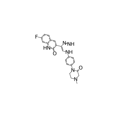 CN1CCN(c2ccc(N/C=C(\N=N)c3cc4ccc(F)cc4[nH]c3=O)cc2)C(=O)C1